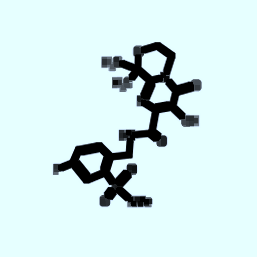 CNS(=O)(=O)c1cc(F)ccc1CNC(=O)c1nc2n(c(=O)c1O)CCOC2(C)C